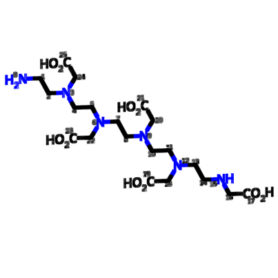 NCCN(CCN(CCN(CCN(CCNCC(=O)O)CC(=O)O)CC(=O)O)CC(=O)O)CC(=O)O